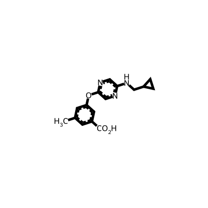 Cc1cc(Oc2cnc(NCC3CC3)cn2)cc(C(=O)O)c1